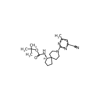 Cc1cc(C#N)nc(N2CCC3(CCC[C@H]3NC(=O)OC(C)(C)C)CC2)n1